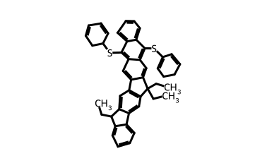 CCC1c2ccccc2-c2cc3c(cc21)-c1cc2c(SC4C=CC=CC4)c4ccccc4c(SC4=CCCC=C4)c2cc1C3(CC)CC